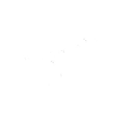 O=C(OCCNCC(=O)N1CC(c2cc(F)ccc2F)=CC1c1cccc(O)c1)N1CCOCC1